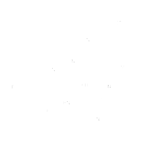 Cc1c(N2CCN(CCC(F)(F)F)CC2)nc2cc(F)cc(F)c2c1Nc1cncc(N2CCOCC2)c1